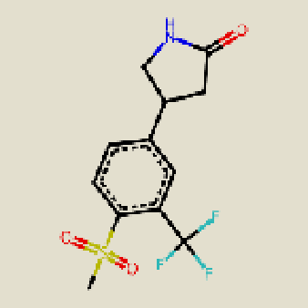 CS(=O)(=O)c1ccc(C2CNC(=O)C2)cc1C(F)(F)F